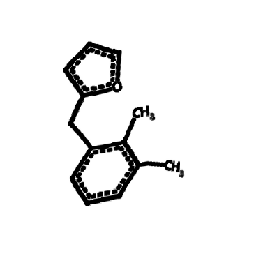 Cc1cccc(Cc2ccco2)c1C